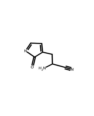 N#CC(N)CC1=CC=NC1=O